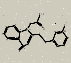 C=C1C=C(CCc2cccc(F)c2)N(CC(=O)O)c2ccccc21